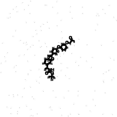 CC(=O)COc1cccc(Oc2ccc(-c3nc4ccc(C(C)NC(=O)OC(C)(C)C)cc4o3)cn2)c1